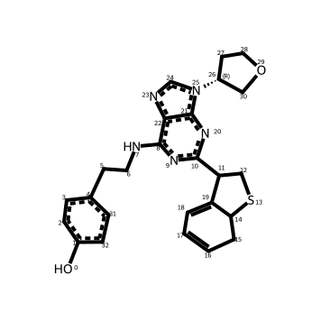 Oc1ccc(CCNc2nc(C3CSC4CC=CC=C43)nc3c2ncn3[C@@H]2CCOC2)cc1